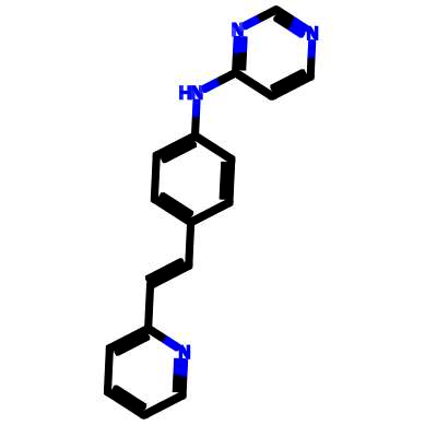 C(=Cc1ccccn1)c1ccc(Nc2ccncn2)cc1